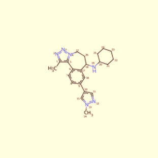 Cc1nnn2c1-c1ccc(-c3cnn(C)c3)cc1C(NC1CCCCC1)CC2